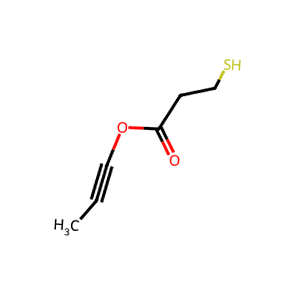 CC#COC(=O)CCS